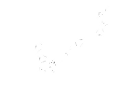 NC(=O)c1c(-c2ccc(Oc3ccccc3)cc2)nn2c1NCCC2C1CCN(C(=O)Cc2ccc(CCSc3cccc4c3CN(C3CCC(=O)NC3=O)C4=O)cc2)CC1